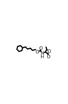 CC1OC(=O)C1NC(=O)OCCCCCC1CCCCC1